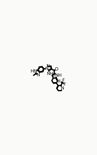 Cc1nc2cc(-n3ncc(C(=O)C4=CC5CC=C(C6=CCCN=C6C(F)(F)F)C=C5N4)c3N)ccc2[nH]1